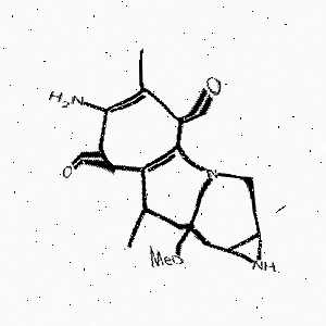 [CH2]C1C2=C(C(=O)C(C)=C(N)C2=O)N2CC3NC3C12OC